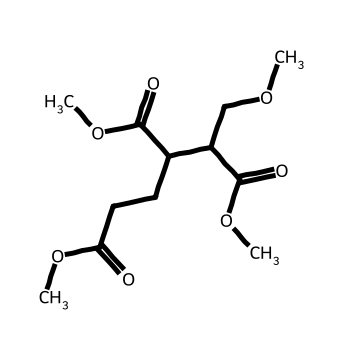 COCC(C(=O)OC)C(CCC(=O)OC)C(=O)OC